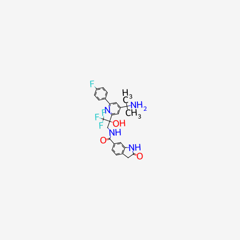 CC(C)(N)c1cc(-c2ccc(F)cc2)nc(C(O)(CNC(=O)c2ccc3c(c2)NC(=O)C3)C(F)(F)F)c1